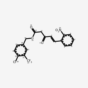 O=C(C=Cc1ccccc1[N+](=O)[O-])CC(=O)OCc1ccc(Cl)c(C(F)(F)F)c1